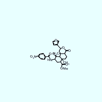 COC(=O)C1CC(NC(=O)c2ccc([N+](=O)[O-])cc2)C(=O)C2C1(C)CCC1C(=O)OC(c3ccoc3)CC12C